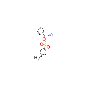 Cc1ccc(S(=O)(=O)COC(C#N)c2ccccc2)cc1